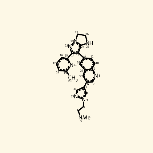 CNCCn1cc(-c2cnc3ccc(-c4c(-c5cccc(C)n5)nn5c4NCC5)cc3c2)cn1